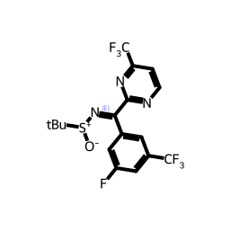 CC(C)(C)[S+]([O-])/N=C(\c1cc(F)cc(C(F)(F)F)c1)c1nccc(C(F)(F)F)n1